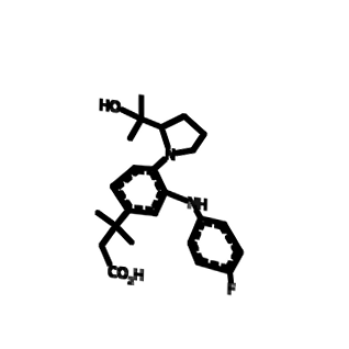 CC(C)(CC(=O)O)c1ccc(N2CCCC2C(C)(C)O)c(Nc2ccc(F)cc2)c1